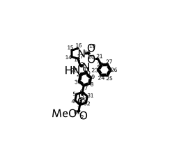 COC(=O)C12CCC(c3ccc4nc(C5CCCN5C(=O)OCc5ccccc5)[nH]c4c3)(CC1)CC2